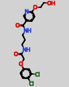 O=C(COc1ccc(Cl)c(Cl)c1)NCCCNC(=O)c1ccc(OCCO)nc1